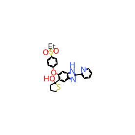 CCS(=O)(=O)c1ccc(Oc2cc3[nH]c(-c4ccccn4)nc3cc2C2(O)CCCS2)cc1